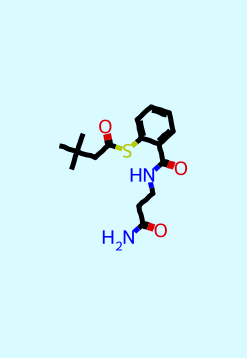 CC(C)(C)CC(=O)Sc1ccccc1C(=O)NCCC(N)=O